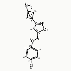 NC12CC(c3noc(COc4ccc(Cl)cc4)n3)(C1)C2